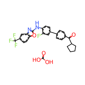 O=C(O)O.O=C(c1ccc(-c2ccc(Nc3nc4cc(C(F)(F)F)ccc4o3)c(F)c2)cc1)C1CCCC1